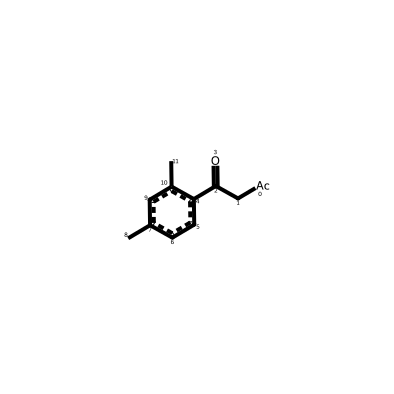 CC(=O)CC(=O)c1ccc(C)cc1C